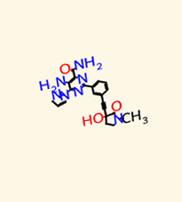 CN1CCC(O)(C#Cc2cccc(-c3nc(C(N)=O)c(N)c(-n4cccn4)n3)c2)C1=O